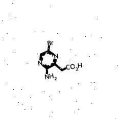 Nc1ncc(Br)nc1CC(=O)O